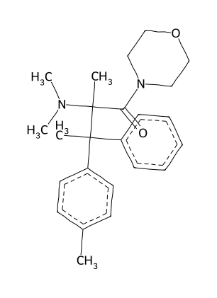 Cc1ccc(C(C)(c2ccccc2)C(C)(C(=O)N2CCOCC2)N(C)C)cc1